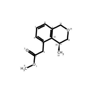 COC(=O)Cc1cccc2c1[C@H](C)COC2